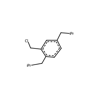 CC(C)Cc1ccc(CC(C)C)c(CCl)c1